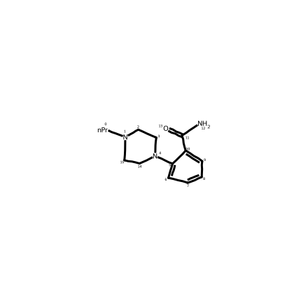 [CH2]CCN1CCN(c2ccccc2C(N)=O)CC1